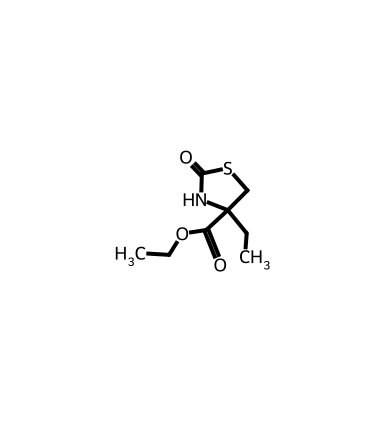 CCOC(=O)C1(CC)CSC(=O)N1